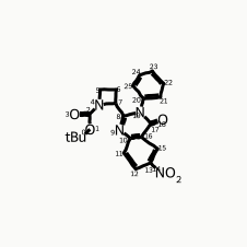 CC(C)(C)OC(=O)N1CCC1c1nc2ccc([N+](=O)[O-])cc2c(=O)n1-c1ccccc1